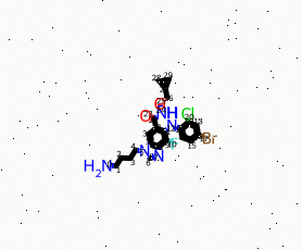 NCCCCn1cnc2c(F)c(Nc3ccc(Br)cc3Cl)c(C(=O)NOCC3CC3)cc21